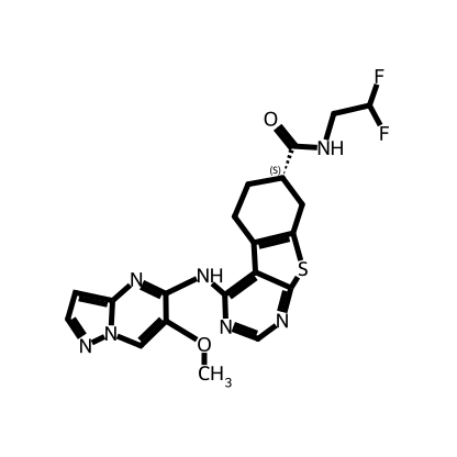 COc1cn2nccc2nc1Nc1ncnc2sc3c(c12)CC[C@H](C(=O)NCC(F)F)C3